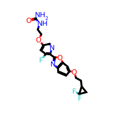 NC(=O)NCCOc1cnc(-c2nc3ccc(OCCC4CC4(F)F)cc3o2)c(F)c1